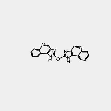 c1ccc2c(c1)ncc1nc(Oc3nc4cnc5ccccc5c4[nH]3)[nH]c12